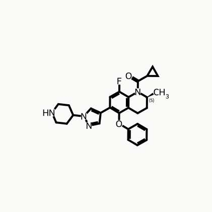 C[C@H]1CCc2c(Oc3ccccc3)c(-c3cnn(C4CCNCC4)c3)cc(F)c2N1C(=O)C1CC1